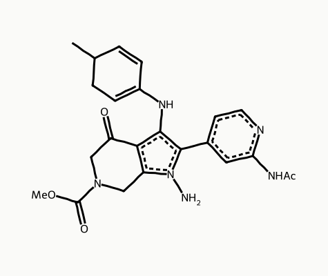 COC(=O)N1CC(=O)c2c(NC3=CCC(C)C=C3)c(-c3ccnc(NC(C)=O)c3)n(N)c2C1